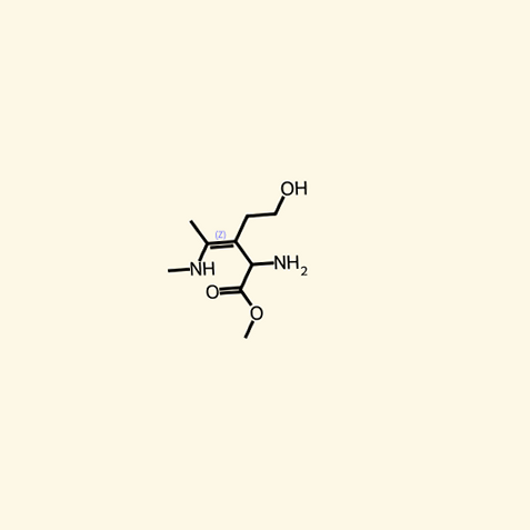 CN/C(C)=C(/CCO)C(N)C(=O)OC